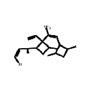 C=CC1(/C(N)=C\C2C(C)CC2C)C(C)CC1C(C)(C)/C=C\CC